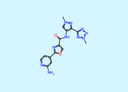 Cn1cc(NC(=O)c2coc(-c3ccnc(N)c3)n2)c(-c2nnn(C)n2)n1